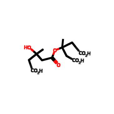 CC(O)(CC(=O)O)CC(=O)OC(C)(CC(=O)O)CC(=O)O